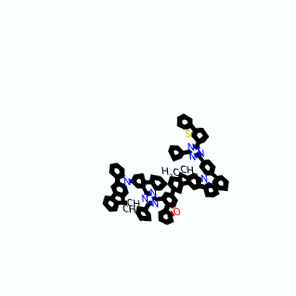 CC1(C)c2ccccc2-c2cc3c4ccccc4n(-c4ccc(-c5ccccc5)c(-c5nc(-c6ccccc6)nc(-c6cc(-c7ccc8c(c7)-c7cc9c%10ccccc%10n(-c%10cc(-c%11nc(-c%12ccccc%12)nc(-c%12cccc%13c%12sc%12ccccc%12%13)n%11)ccc%10-c%10ccccc%10)c9cc7C8(C)C)cc7oc8ccccc8c67)n5)c4)c3cc21